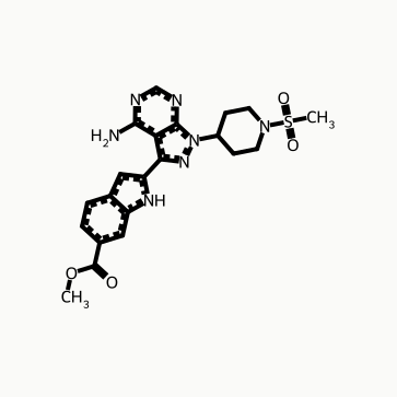 COC(=O)c1ccc2cc(-c3nn(C4CCN(S(C)(=O)=O)CC4)c4ncnc(N)c34)[nH]c2c1